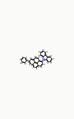 c1ccc(-c2cc3ccc4ccc(-n5c6ccccc6c6ccccc65)c5ccc(c2)c3c45)cc1